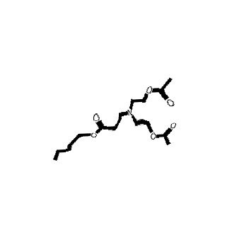 CCCCOC(=O)CCN(CCOC(C)=O)CCOC(C)=O